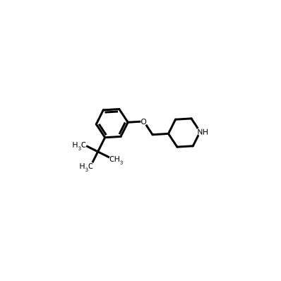 CC(C)(C)c1cccc(OCC2CCNCC2)c1